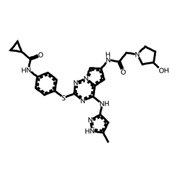 Cc1cc(Nc2nc(Sc3ccc(NC(=O)C4CC4)cc3)nn3cc(NC(=O)CN4CCC(O)C4)cc23)n[nH]1